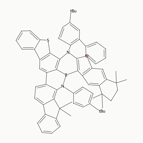 CC(C)(C)c1ccc(N2B3c4c(cc5c(sc6ccccc65)c4N(c4ccc(C(C)(C)C)cc4-c4ccccc4)c4oc5cc6c(cc5c43)C(C)(C)CCC6(C)C)-c3ccc4c(c32)C(C)(C)c2ccccc2-4)cc1